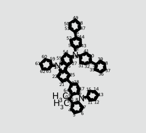 CC1(C)c2ccccc2N(c2ccccc2)c2ccc(-c3ccc4c(c3)c3cc(N(c5ccc(-c6ccccc6)cc5)c5ccc(-c6ccccc6)cc5)ccc3n4-c3ccccc3)cc21